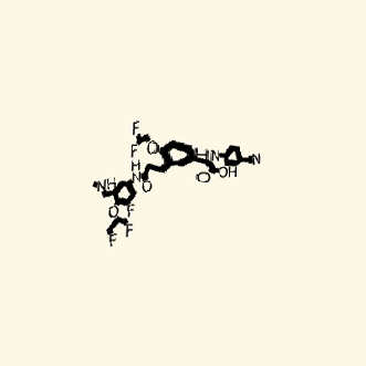 CNCc1cc(NC(=O)CCc2cc(C(Nc3ccc(C#N)cc3)C(=O)O)ccc2OCC(F)F)cc(F)c1OC(CF)CF